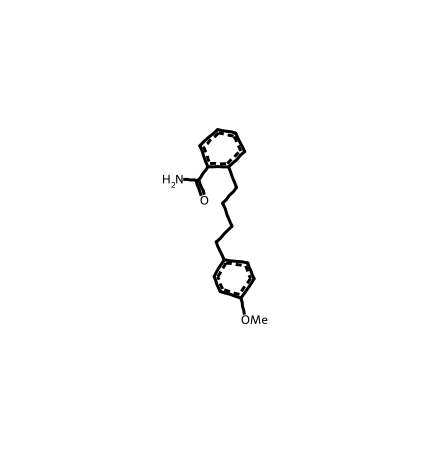 COc1ccc(CCCCc2ccccc2C(N)=O)cc1